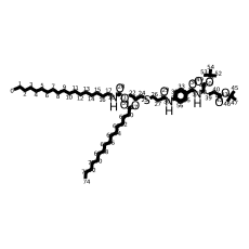 CCCCCCCCCCCCCCCCCCNC(=O)OCC(CSCCC(=O)Nc1ccc(C(=O)N[C@@H](CCC(=O)OC(C)(C)C)C(=O)OC(C)(C)C)cc1)OC(=O)CCCCCCCCCCCCCCC